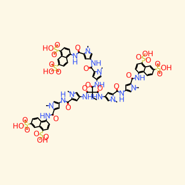 CCC(C(=O)Nc1cc(C(=O)Nc2cc(C(=O)Nc3ccc(S(=O)(=O)O)c4cc(S(=O)(=O)O)ccc34)n(C)c2)n(C)c1)(C(=O)Nc1cc(C(=O)Nc2cc(C(=O)Nc3ccc(S(=O)(=O)O)c4cc(S(=O)(=O)O)ccc34)n(C)c2)n(C)c1)C(=O)Nc1cc(C(=O)Nc2cc(C(=O)Nc3ccc(S(=O)(=O)O)c4cc(S(=O)(=O)O)ccc34)n(C)c2)n(C)c1